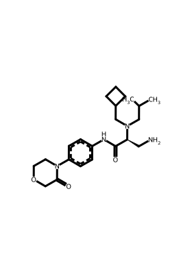 CC(C)CN(CC1CCC1)[C@@H](CN)C(=O)Nc1ccc(N2CCOCC2=O)cc1